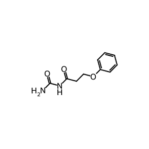 NC(=O)NC(=O)CCOc1ccccc1